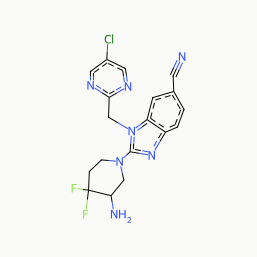 N#Cc1ccc2nc(N3CCC(F)(F)C(N)C3)n(Cc3ncc(Cl)cn3)c2c1